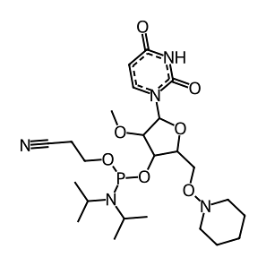 COC1C(OP(OCCC#N)N(C(C)C)C(C)C)C(CON2CCCCC2)OC1n1ccc(=O)[nH]c1=O